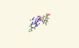 NC(=O)C12CC3CC(CC(O)(C3)C1)C2Nc1ccc(Cl)cn1